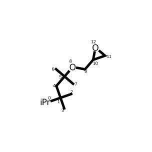 CC(C)C(C)(C)CC(C)(C)OCC1CO1